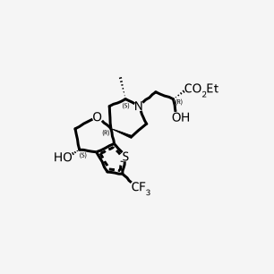 CCOC(=O)[C@H](O)CN1CC[C@]2(C[C@@H]1C)OC[C@@H](O)c1cc(C(F)(F)F)sc12